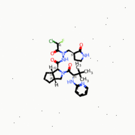 CC(C)(C)[C@H](Nc1ccccn1)C(=O)N1C[C@@H]2CCC[C@@H]2[C@H]1C(=O)NN(C[C@@H]1CCNC1=O)C(=O)[C@H](F)Cl